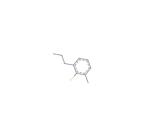 CC[CH]c1cccc(C)c1F